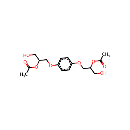 CC(=O)OC(CO)COc1ccc(OCC(CO)OC(C)=O)cc1